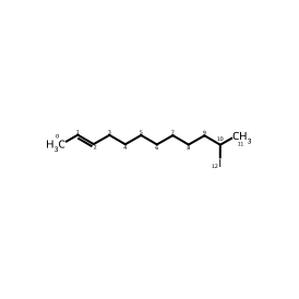 C/C=C/CCCCCCCC(C)I